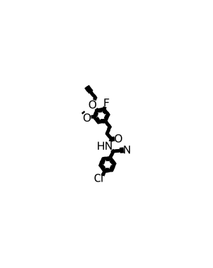 C#CCOc1c(F)cc(CCC(=O)NC(C#N)c2ccc(Cl)cc2)cc1OC